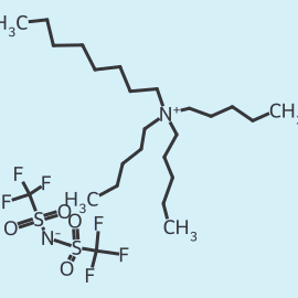 CCCCCCCC[N+](CCCCC)(CCCCC)CCCCC.O=S(=O)([N-]S(=O)(=O)C(F)(F)F)C(F)(F)F